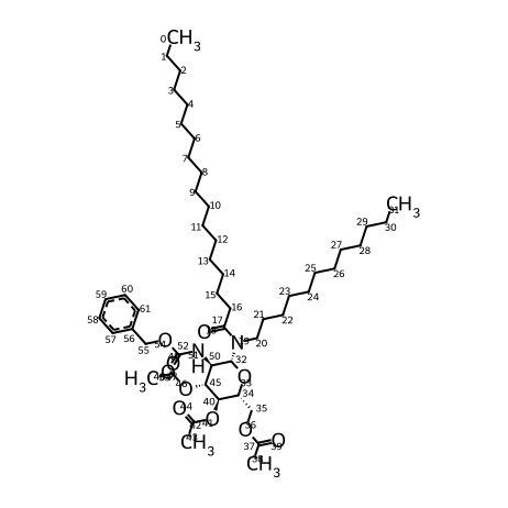 CCCCCCCCCCCCCCCCCC(=O)N(CCCCCCCCCCCC)[C@@H]1O[C@H](COC(C)=O)[C@@H](OC(C)=O)[C@H](OC(C)=O)[C@H]1NC(=O)OCc1ccccc1